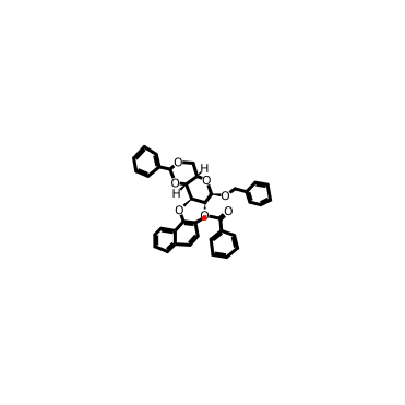 Cc1ccc2ccccc2c1O[C@@H]1[C@@H](OC(=O)c2ccccc2)[C@H](OCc2ccccc2)O[C@@H]2COC(c3ccccc3)O[C@@H]12